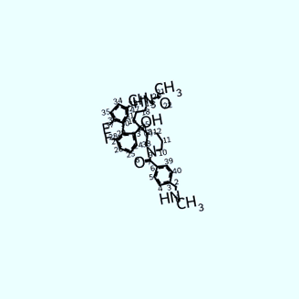 CNCc1ccc(C(=O)N2CCC[C@@H]([C@@](O)(CCCNC(C)=O)c3cccc(F)c3-c3cc(C)ccc3F)C2)cc1